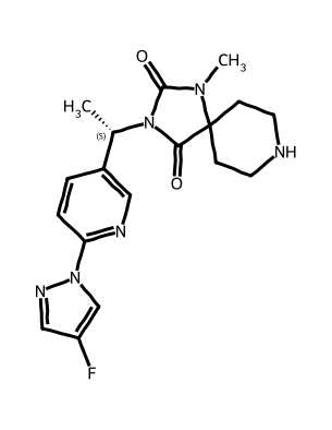 C[C@@H](c1ccc(-n2cc(F)cn2)nc1)N1C(=O)N(C)C2(CCNCC2)C1=O